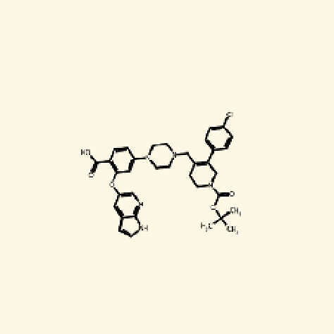 CC(C)(C)OC(=O)N1CCC(CN2CCN(c3ccc(C(=O)O)c(Oc4cnc5[nH]ccc5c4)c3)CC2)=C(c2ccc(Cl)cc2)C1